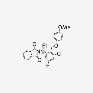 CC[C@@H](c1cc(F)cc(Cl)c1COc1ccc(OC)cc1)N1C(=O)c2ccccc2C1=O